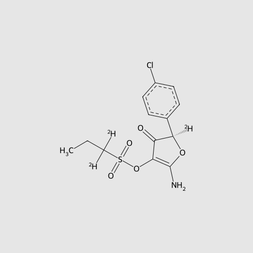 [2H]C([2H])(CC)S(=O)(=O)OC1=C(N)O[C@]([2H])(c2ccc(Cl)cc2)C1=O